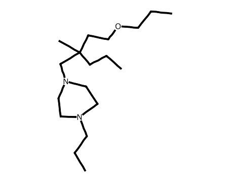 CCCOCCC(C)(CCC)CN1CCN(CCC)CC1